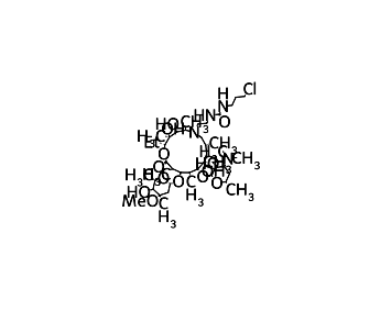 CC[C@H]1OC(=O)[C@H](C)[C@H](O[C@@H]2C[C@@](C)(OC)[C@@H](O)[C@H](C)O2)[C@@H](C)[C@H](O[C@@H]2O[C@H](C)C[C@H](N(C)C)[C@H]2O)[C@](C)(O)C[C@@H](C)CN(CCNC(=O)NCCCCl)[C@H](C)[C@@H](O)[C@]1(C)O